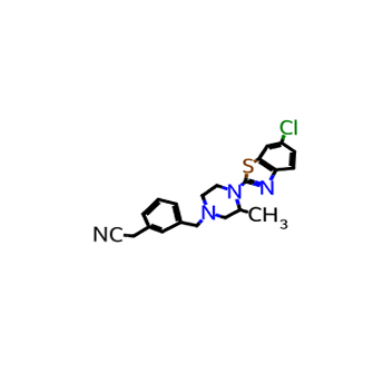 CC1CN(Cc2cccc(CC#N)c2)CCN1c1nc2ccc(Cl)cc2s1